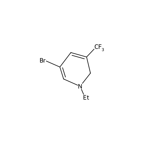 CCN1C=C(Br)C=C(C(F)(F)F)C1